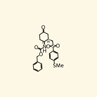 CSc1ccc(S(=O)(=O)C[C@@H]2CC(=O)CC[C@@H]2NC(=O)OCc2ccccc2)cc1